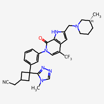 C[C@@H]1CCCN(Cc2cc3c(C(F)(F)F)cn(-c4cccc(C5(c6nncn6C)CC(CC#N)C5)c4)c(=O)c3[nH]2)C1